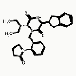 CCC(CC)[C@@H]1C(=O)NC(C2Cc3ccccc3C2)C(=O)N1Cc1ccccc1N1CCCC1=O